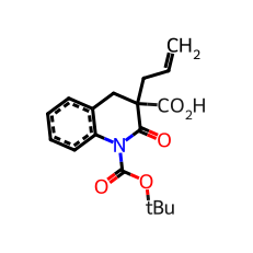 C=CCC1(C(=O)O)Cc2ccccc2N(C(=O)OC(C)(C)C)C1=O